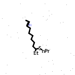 C/C=C/CCCCCCC(CC)SCCC